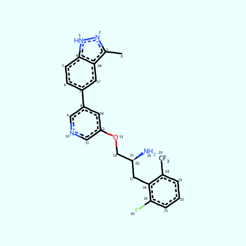 Cc1n[nH]c2ccc(-c3cncc(OC[C@@H](N)Cc4c(F)cccc4C(F)(F)F)c3)cc12